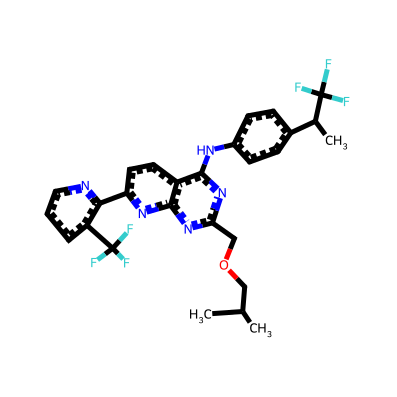 CC(C)COCc1nc(Nc2ccc(C(C)C(F)(F)F)cc2)c2ccc(-c3ncccc3C(F)(F)F)nc2n1